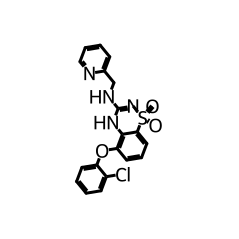 O=S1(=O)N=C(NCc2ccccn2)Nc2c(Oc3ccccc3Cl)cccc21